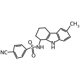 Cc1ccc2[nH]c3c(c2c1)CCCC3NS(=O)(=O)c1ccc(C#N)cc1